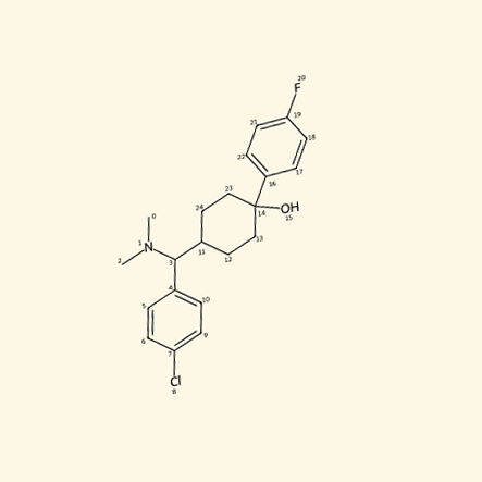 CN(C)C(c1ccc(Cl)cc1)C1CCC(O)(c2ccc(F)cc2)CC1